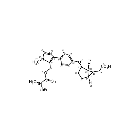 CCCN(C)C(=O)OCc1c(-c2ccc(OC3CC[C@H]4C(CC(=O)O)[C@@H]34)cn2)nnn1C